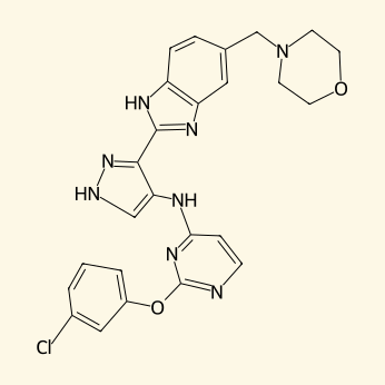 Clc1cccc(Oc2nccc(Nc3c[nH]nc3-c3nc4cc(CN5CCOCC5)ccc4[nH]3)n2)c1